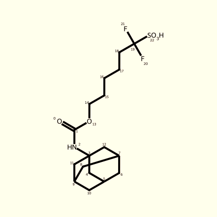 O=C(NC12CC3CC(CC(C3)C1)C2)OCCCCCC(F)(F)S(=O)(=O)O